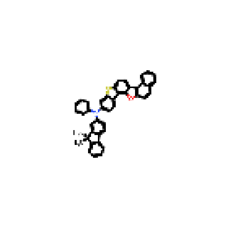 CC1(C)c2ccccc2-c2ccc(N(c3ccccc3)c3ccc4c(c3)sc3ccc5c(oc6ccc7ccccc7c65)c34)cc21